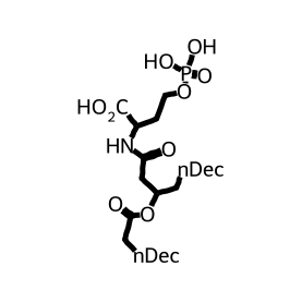 CCCCCCCCCCCC(=O)OC(CCCCCCCCCCC)CC(=O)NC(CCOP(=O)(O)O)C(=O)O